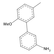 COc1ccc(C)cc1-c1cccc(N)c1